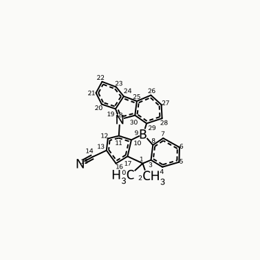 CC1(C)c2ccccc2B2c3c(cc(C#N)cc31)-n1c3ccccc3c3cccc2c31